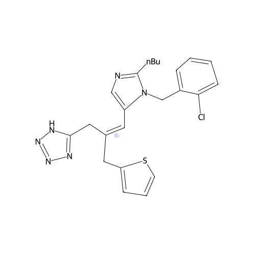 CCCCc1ncc(/C=C(\Cc2nnn[nH]2)Cc2cccs2)n1Cc1ccccc1Cl